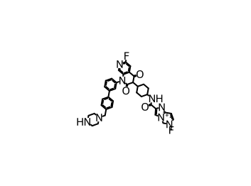 O=C(NC1CCC(C2C(=O)c3cc(F)ncc3N(c3cccc(-c4ccc(CN5CCNCC5)cc4)c3)C2=O)CC1)C1=C[N+]2CN(F)C=CC2=N1